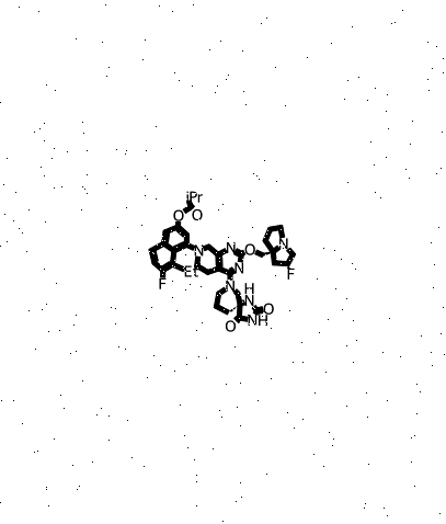 CCc1c(F)ccc2cc(OC(=O)C(C)C)cc(N3CCc4c(nc(OC[C@@]56CCCN5C[C@H](F)C6)nc4N4CCC[C@]5(C4)NC(=O)NC5=O)C3)c12